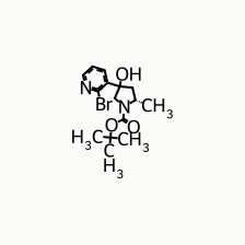 C[C@H]1CC(O)(c2cccnc2Br)CN1C(=O)OC(C)(C)C